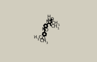 CCC1C(c2ccc3nc(-c4ccc(OC(C)C)cc4)oc3c2)=NNC(=O)C1C